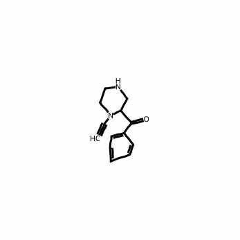 C#CN1CCNCC1C(=O)c1ccccc1